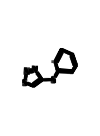 [c]1ccccc1Sc1csnn1